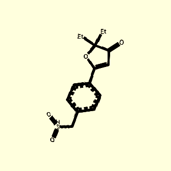 CCC1(CC)OC(c2ccc(C[SH](=O)=O)cc2)=CC1=O